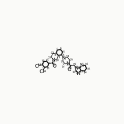 C[C@@H]1CN(c2cccc3c2CN(C(=O)c2ccc(Cl)c(Cl)c2)CC3)CCN1C(=O)Cn1cnc2cccnc21